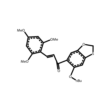 CCCCOc1cc2c(cc1C(=O)/C=C/c1c(OC)cc(OC)cc1OC)OCS2